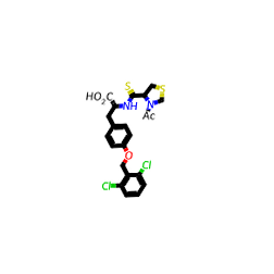 CC(=O)N1CSCC1C(=S)NC(Cc1ccc(OCc2c(Cl)cccc2Cl)cc1)C(=O)O